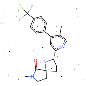 Cc1cnc([C@@H]2CC[C@@]3(CCN(C)C3=O)N2)cc1-c1ccc(C(F)(F)F)cc1